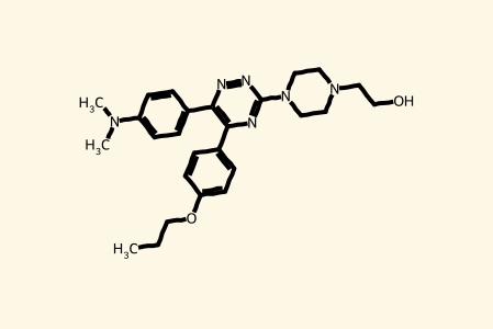 CCCOc1ccc(-c2nc(N3CCN(CCO)CC3)nnc2-c2ccc(N(C)C)cc2)cc1